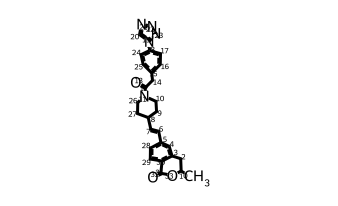 CC1Cc2cc(/C=C/C3CCN(C(=O)Cc4ccc(-n5cnnn5)cc4)CC3)ccc2C(=O)O1